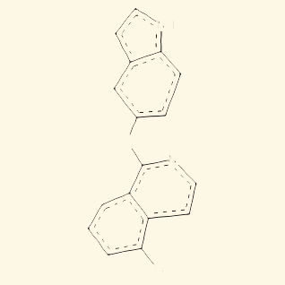 [O]c1cccc2c(Oc3ccc4[nH]ccc4c3)nccc12